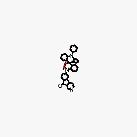 O=C1c2cnccc2-c2cc(N3c4ccccc4C4(c5ccccc5N(c5ccccc5)c5ccccc54)c4ccccc43)ccc21